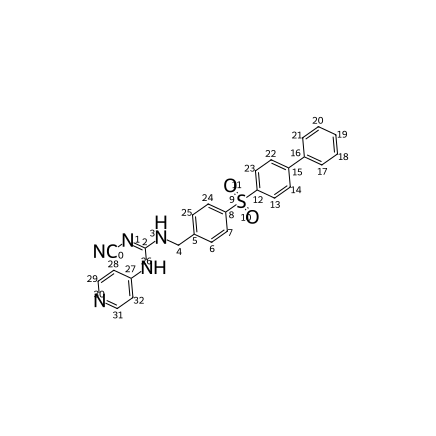 N#CN=C(NCc1ccc(S(=O)(=O)c2ccc(-c3ccccc3)cc2)cc1)Nc1ccncc1